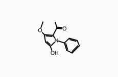 COc1cc(O)n(-c2ccccc2)c1C(C)=O